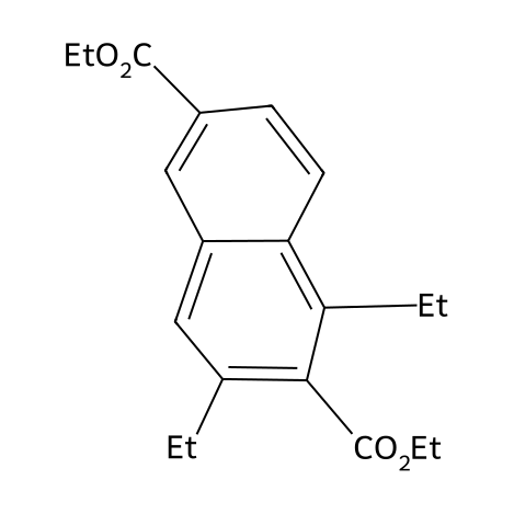 CCOC(=O)c1ccc2c(CC)c(C(=O)OCC)c(CC)cc2c1